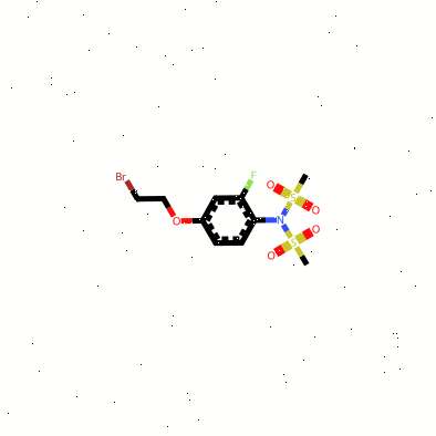 CS(=O)(=O)N(c1ccc(OCCBr)cc1F)S(C)(=O)=O